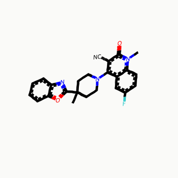 Cn1c(=O)c(C#N)c(N2CCC(C)(c3nc4ccccc4o3)CC2)c2cc(F)ccc21